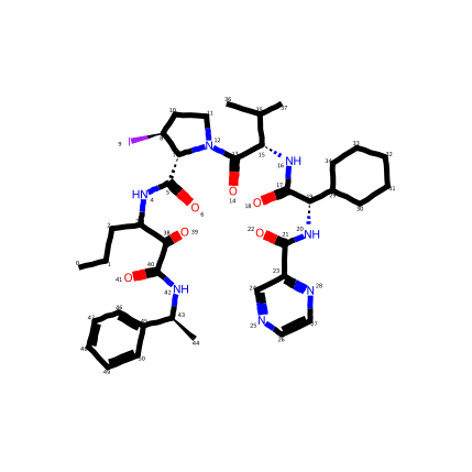 CCCC(NC(=O)[C@@H]1[C@@H](I)CCN1C(=O)[C@@H](NC(=O)[C@@H](NC(=O)c1cnccn1)C1CCCCC1)C(C)C)C(=O)C(=O)N[C@@H](C)c1ccccc1